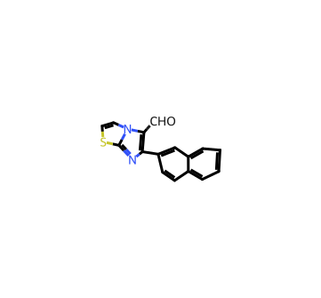 O=Cc1c(-c2ccc3ccccc3c2)nc2sccn12